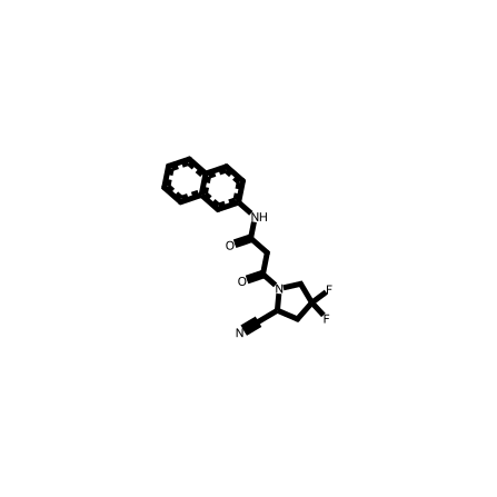 N#CC1CC(F)(F)CN1C(=O)CC(=O)Nc1ccc2ccccc2c1